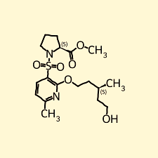 COC(=O)[C@@H]1CCCN1S(=O)(=O)c1ccc(C)nc1OCC[C@@H](C)CCO